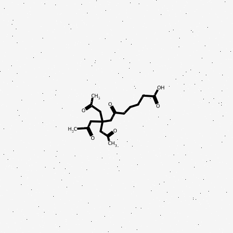 CC(=O)CC(CC(C)=O)(CC(C)=O)CC(=O)CCCCC(=O)O